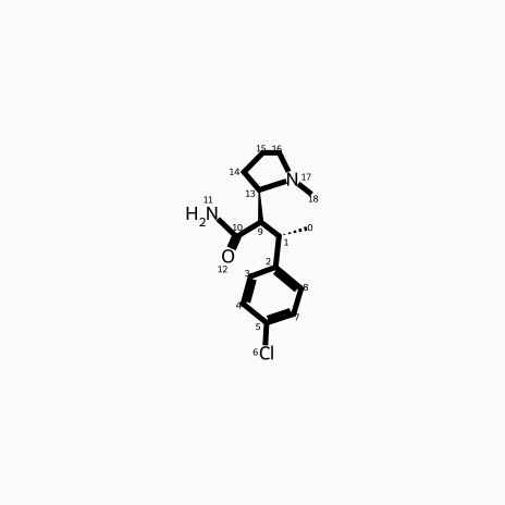 C[C@H](c1ccc(Cl)cc1)C(C(N)=O)[C@H]1CCCN1C